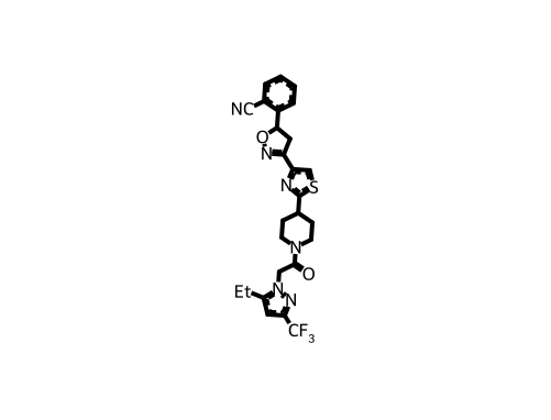 CCc1cc(C(F)(F)F)nn1CC(=O)N1CCC(c2nc(C3=NOC(c4ccccc4C#N)C3)cs2)CC1